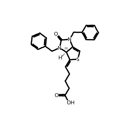 O=C(O)CCCC=C1SC=C2[C@@H]1N(Cc1ccccc1)C(=O)N2Cc1ccccc1